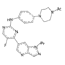 CC(=O)N1CCN(c2ccc(Nc3ncc(F)c(-c4cnc5cnn(C(C)C)c5c4)n3)cc2)CC1